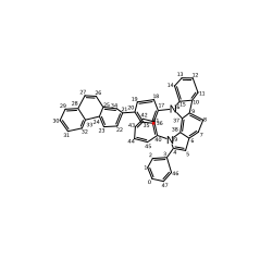 c1ccc(-c2cc3ccc4c5ccccc5n(-c5ccc(-c6ccc7c(ccc8ccccc87)c6)cc5)c4c3n2-c2ccccc2)cc1